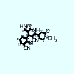 CN1CCC(C2=C(C#N)C(c3cccc(C#N)c3Br)c3c[nH]nc3N2)CC1=O